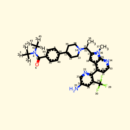 [2H]C([2H])([2H])N(C(=O)c1ccc(C2=CCN([C@@H](C)c3cc4c(-c5ncc(N)cc5C(F)(F)F)ccnc4n3C)CC2)cc1)C([2H])([2H])[2H]